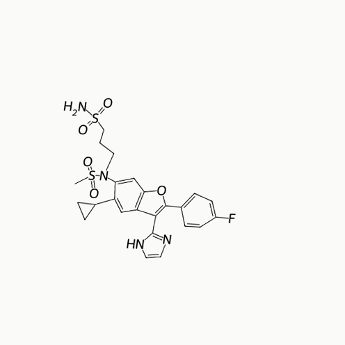 CS(=O)(=O)N(CCCS(N)(=O)=O)c1cc2oc(-c3ccc(F)cc3)c(-c3ncc[nH]3)c2cc1C1CC1